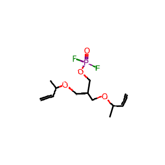 C=CC(C)OCC(COC(C)C=C)COP(=O)(F)F